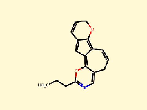 O=C(O)CCC1=NC=C2CC=CC3=C4OCC=CC4=CC3=C2O1